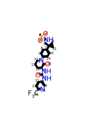 CS(=O)(=O)NCC1(c2ccc(N3CCC[C@@H](NC(=O)Nc4ccc(C(F)(F)F)nc4)C3=O)cc2)CC1